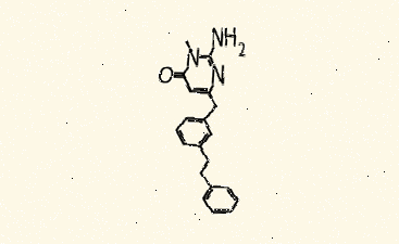 Cn1c(N)nc(Cc2cccc(CCc3ccccc3)c2)cc1=O